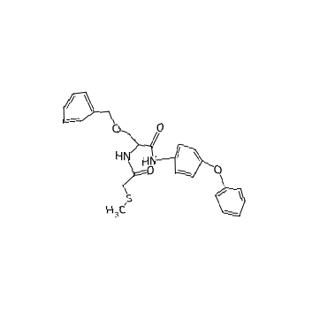 CSCC(=O)NC(COCc1ccccc1)C(=O)Nc1ccc(Oc2ccccc2)cc1